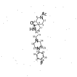 CC(=O)N1CCC2(CC1)C[C@H](CCN1CCN(c3ccc(F)cc3)[C@@H](C)C1)NC2=O